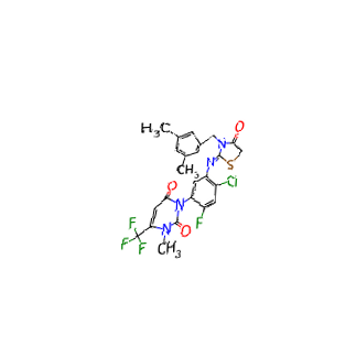 Cc1cc(C)cc(CN2C(=O)CS/C2=N\c2cc(-n3c(=O)cc(C(F)(F)F)n(C)c3=O)c(F)cc2Cl)c1